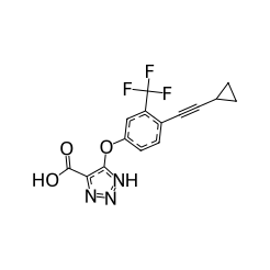 O=C(O)c1nn[nH]c1Oc1ccc(C#CC2CC2)c(C(F)(F)F)c1